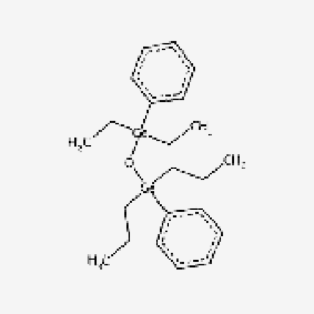 CC[CH2][Ge]([CH2]CC)([O][Ge]([CH2]C)([CH2]C)[c]1ccccc1)[c]1ccccc1